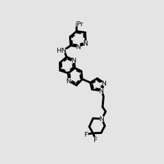 CC(C)c1cnnc(Nc2ccc3ncc(-c4cnn(CCCN5CCC(F)(F)CC5)c4)cc3n2)c1